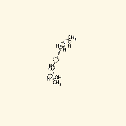 CC(O)CN1C[C@@H]2[C@H](C#Cc3ccc(-c4cc(Cn5ccnc5[C@H](C)O)on4)cc3)[C@@H]2C1